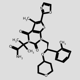 Cc1ccccc1[C@H](Cn1c(=O)n(C(C)(C)C(N)=O)c(=O)c2c(C)c(-c3ncco3)sc21)OC1CCOCC1